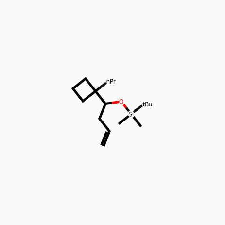 C=CCC(O[Si](C)(C)C(C)(C)C)C1(CCC)CCC1